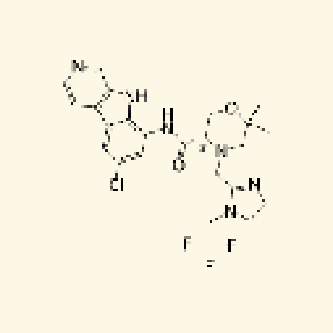 CC1(C)CN(CC2=NCCN2CC(F)(F)F)[C@H](C(=O)Nc2cc(Cl)cc3c2[nH]c2cnccc23)CO1